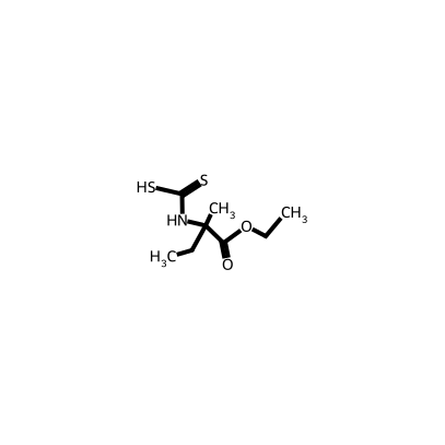 CCOC(=O)C(C)(CC)NC(=S)S